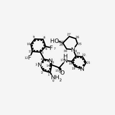 Nc1cnc(-c2c(F)cccc2F)nc1C(=O)Nc1cnccc1N1CCC[C@H](O)C1